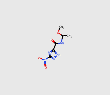 COC(C)NC(=O)c1nc([N+](=O)[O-])n[nH]1